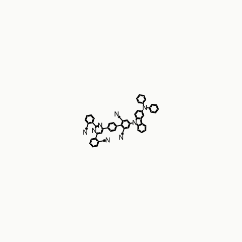 N#Cc1ccccc1-c1cc(-c2ccc(-c3c(C#N)cc(-n4c5ccccc5c5cc(N(c6ccccc6)c6ccccc6)ccc54)cc3C#N)cc2)nc(-c2ccccc2C#N)n1